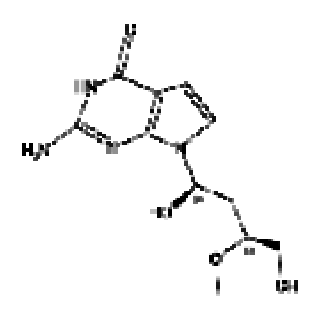 CO[C@H](CO)C[C@@H](O)n1ccc2c(=O)[nH]c(N)nc21